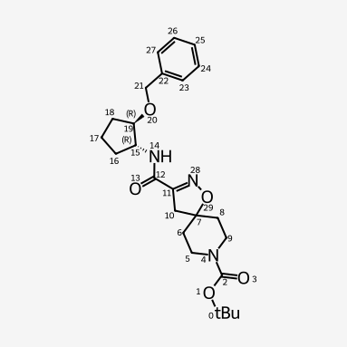 CC(C)(C)OC(=O)N1CCC2(CC1)CC(C(=O)N[C@@H]1CCC[C@H]1OCc1ccccc1)=NO2